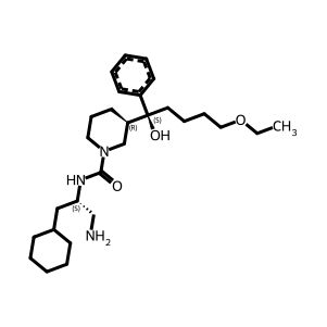 CCOCCCC[C@@](O)(c1ccccc1)[C@@H]1CCCN(C(=O)N[C@H](CN)CC2CCCCC2)C1